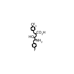 N[C@@H](Cc1ccc(F)cc1)[C@@H](O)C[C@@H](Cc1ccc(C(F)(F)F)cc1)C(=O)O